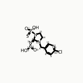 O=[N+](O)N=C1N(Cc2ccc(Cl)nc2)CCN1P([O-])(O)=S